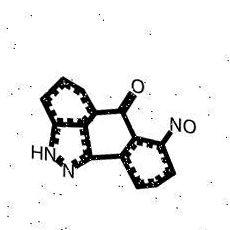 O=Nc1cccc2c1C(=O)c1cccc3[nH]nc-2c13